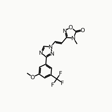 COc1cc(-c2ncn(C=Cc3noc(=O)n3C)n2)cc(C(F)(F)F)c1